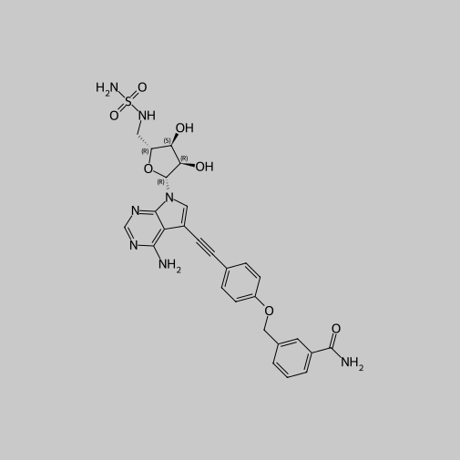 NC(=O)c1cccc(COc2ccc(C#Cc3cn([C@@H]4O[C@H](CNS(N)(=O)=O)[C@@H](O)[C@H]4O)c4ncnc(N)c34)cc2)c1